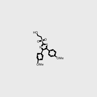 COc1ccc(-c2nc(S(=O)(=O)CCO)sc2-c2ccc(OC)cc2)cc1